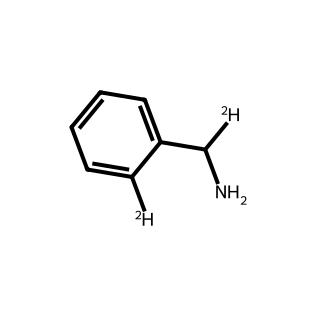 [2H]c1ccccc1C([2H])N